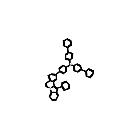 c1ccc(-c2ccc(N(c3ccc(-c4ccccc4)cc3)c3ccc(-c4ccc5ccn6c7ccccc7c(-c7ccccc7)c6c5c4)cc3)cc2)cc1